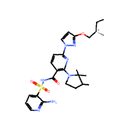 CC[C@H](C)COc1ccn(-c2ccc(C(=O)NS(=O)(=O)c3cccnc3N)c(N3CCC(C)C3(C)C)n2)n1